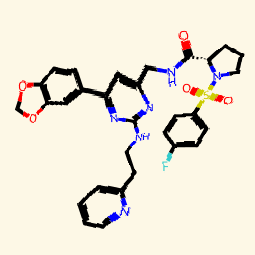 O=C(NCc1cc(-c2ccc3c(c2)OCO3)nc(NCCc2ccccn2)n1)[C@@H]1CCCN1S(=O)(=O)c1ccc(F)cc1